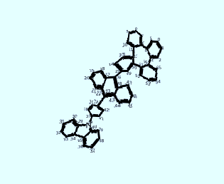 c1ccc2c(c1)-c1ccccc1-c1ccc(-c3c4ccccc4c(-c4ccc(-n5c6ccccc6c6ccccc65)cc4)c4ccccc34)cc1-c1ccccc1-2